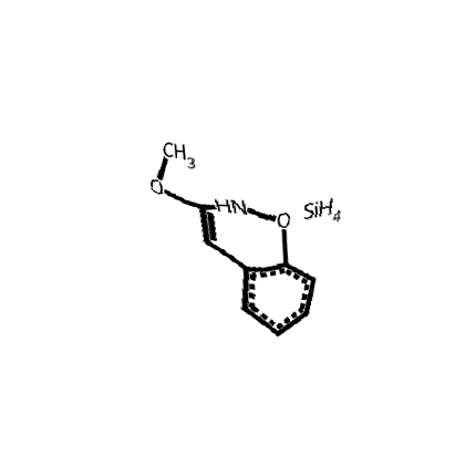 COC1=Cc2ccccc2ON1.[SiH4]